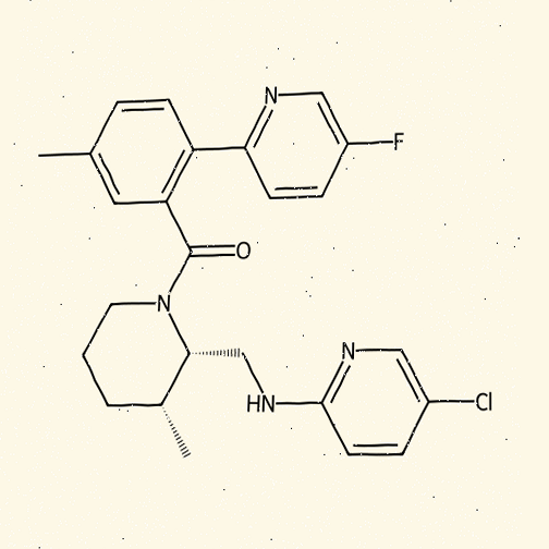 Cc1ccc(-c2ccc(F)cn2)c(C(=O)N2CCC[C@@H](C)[C@H]2CNc2ccc(Cl)cn2)c1